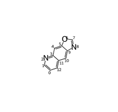 c1cnc2cc3ocnc3cc2c1